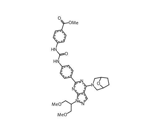 COCC(COC)n1ncc2c(N3CC4CCC(C3)O4)nc(-c3ccc(NC(=O)Nc4ccc(C(=O)OC)cc4)cc3)nc21